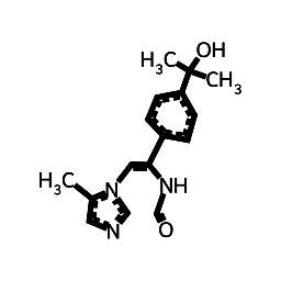 Cc1cncn1/C=C(\NC=O)c1ccc(C(C)(C)O)cc1